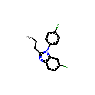 CCCc1nc2ccc(Cl)cc2n1-c1ccc(Cl)cc1